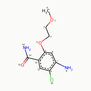 COCCOc1cc(N)c(Cl)cc1C(N)=O